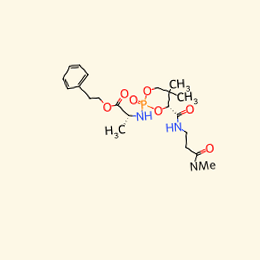 CNC(=O)CCNC(=O)[C@@H]1OP(=O)(N[C@H](C)C(=O)OCCc2ccccc2)OCC1(C)C